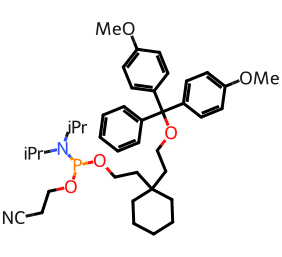 COc1ccc(C(OCCC2(CCOP(OCCC#N)N(C(C)C)C(C)C)CCCCC2)(c2ccccc2)c2ccc(OC)cc2)cc1